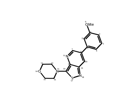 COc1cccc(-c2cnc3c(N4CCOCC4)snc3c2)c1